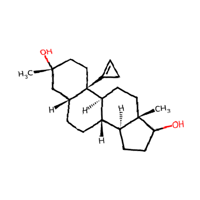 C[C@@]1(O)CC[C@@]2(C3=CC3)[C@H](CC[C@@H]3[C@@H]2CC[C@]2(C)C(O)CC[C@@H]32)C1